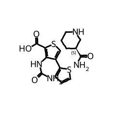 NC(=O)Nc1c(-c2cccs2)csc1C(=O)O.NC(=O)[C@H]1CCCNC1